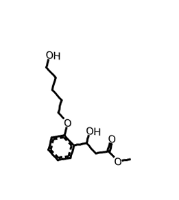 COC(=O)CC(O)c1ccccc1OCCCCCO